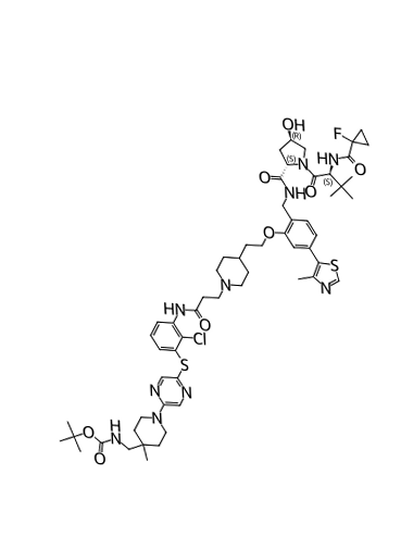 Cc1ncsc1-c1ccc(CNC(=O)[C@@H]2C[C@@H](O)CN2C(=O)[C@@H](NC(=O)C2(F)CC2)C(C)(C)C)c(OCCC2CCN(CCC(=O)Nc3cccc(Sc4cnc(N5CCC(C)(CNC(=O)OC(C)(C)C)CC5)cn4)c3Cl)CC2)c1